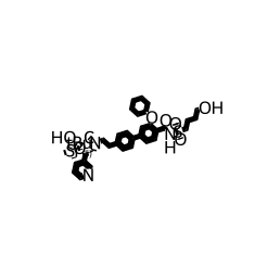 CC(C)(C)[Si](C)(C)O[C@H](CN(CCc1ccc(-c2ccc(C(=O)NS(=O)(=O)CCCCO)c(OC3CCCCC3)c2)cc1)C(=O)O)c1cccnc1